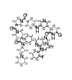 CC(C)n1cnc2cc(-c3ccc4c(c3)N([C@H]3C[C@@H](N5CCCCC5)C3)C(=O)C43CCN(C(=O)[C@@H]4CCN(C(=O)[C@H]5CC[C@H](Nc6cncc(C7CCC(=O)NC7=O)c6)CC5)C4)CC3)nc(Nc3ccccc3F)c21